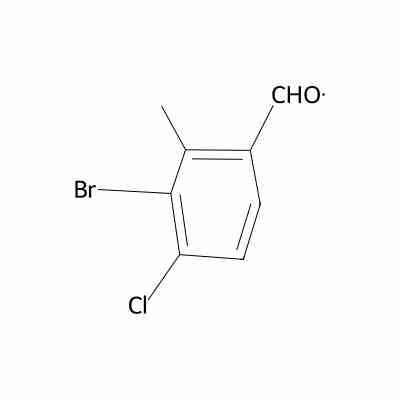 Cc1c([C]=O)ccc(Cl)c1Br